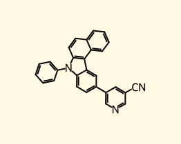 N#Cc1cncc(-c2ccc3c(c2)c2c4ccccc4ccc2n3-c2ccccc2)c1